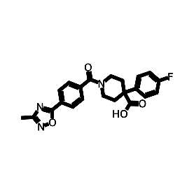 Cc1noc(-c2ccc(C(=O)N3CCC(C(=O)O)(c4ccc(F)cc4)CC3)cc2)n1